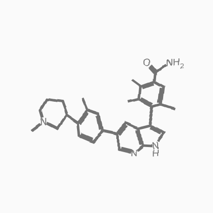 Cc1cc(-c2cnc3[nH]cc(-c4c(C)cc(C(N)=O)c(C)c4C)c3c2)ccc1C1CCCN(C)C1